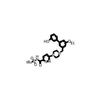 CCOc1cc(CN2CCN(c3ccc(C(=O)NS(=O)(=O)C(C)(C)C)nn3)CC2)cc(-c2cccc(O)c2)c1